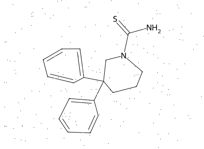 NC(=S)N1CCCC(c2ccccc2)(c2ccccc2)C1